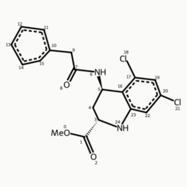 COC(=O)[C@@H]1C[C@@H](NC(=O)Cc2ccccc2)c2c(Cl)cc(Cl)cc2N1